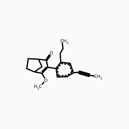 CC#Cc1ccc(C2=C(OC)C3CCC(C3)C2=O)c(CCC)c1